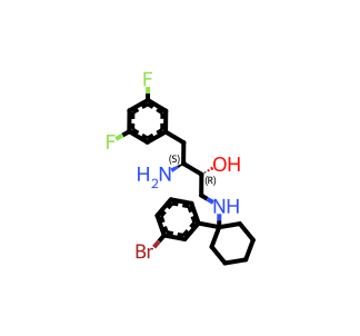 N[C@@H](Cc1cc(F)cc(F)c1)[C@H](O)CNC1(c2cccc(Br)c2)CCCCC1